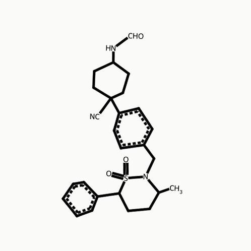 CC1CCC(c2ccccc2)S(=O)(=O)N1Cc1ccc(C2(C#N)CCC(NC=O)CC2)cc1